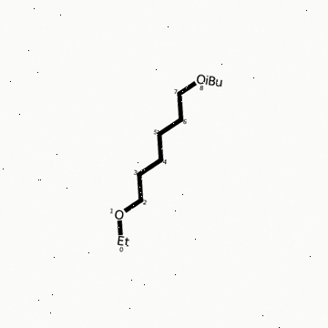 [CH2]COCCCCCCOCC(C)C